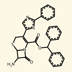 NC1C(=O)N2C(C(=O)OC(c3ccccc3)c3ccccc3)=C(c3cnc(-c4ccccc4)s3)CSC12